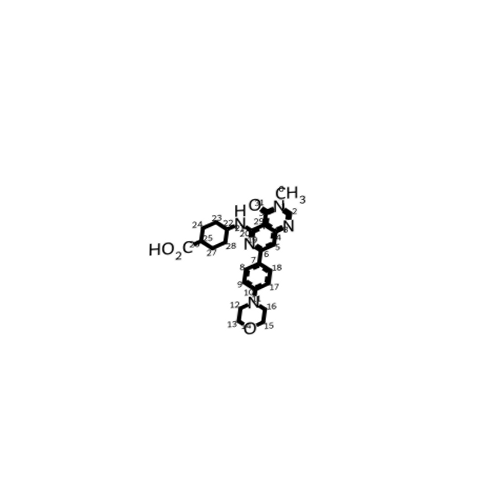 Cn1cnc2cc(-c3ccc(N4CCOCC4)cc3)nc(NC3CCC(C(=O)O)CC3)c2c1=O